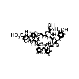 NCCCC[C@H](NC(=O)[C@@H](N)CO)C(=O)N[C@@H](Cc1ccc(O)cc1)C(=O)NCC(=O)N1CCC[C@H]1C(=O)N1CCC[C@H]1C(=O)N[C@@H](CS)C(=O)N1CCC[C@H]1C(=O)N[C@@H](CO)C(=O)O